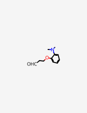 CN(C)c1ccccc1OCCC=O